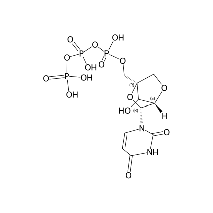 O=c1ccn([C@@H]2O[C@@]3(COP(=O)(O)OP(=O)(O)OP(=O)(O)O)CO[C@H]2C3O)c(=O)[nH]1